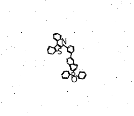 O=P(c1ccccc1)(c1ccccc1)c1ccc2cc(-c3cccc(-c4nc5ccccc5c5c6c(sc45)CCC=C6)c3)ccc2c1